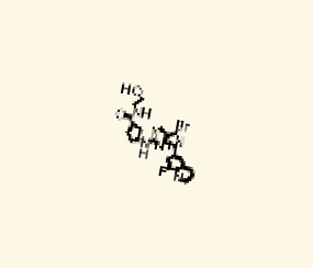 O=C(NCCO)[C@@H]1CC[C@@H](Nc2ncc3c(Br)nn(-c4cc(F)c5ncccc5c4)c3n2)C1